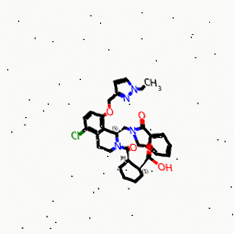 CCn1ccc(COc2ccc(Cl)c3c2[C@@H](CN2Cc4ccccc4C2=O)N(C(=O)[C@@H]2CCCC[C@@H]2C(=O)O)CC3)n1